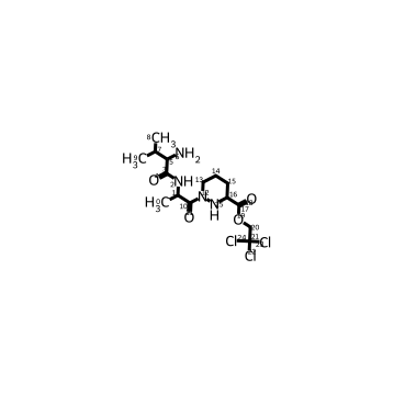 CC(NC(=O)C(N)C(C)C)C(=O)N1CCCC(C(=O)OCC(Cl)(Cl)Cl)N1